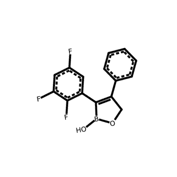 OB1OCC(c2ccccc2)=C1c1cc(F)cc(F)c1F